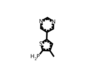 Cc1cc(-c2cncnc2)sc1P